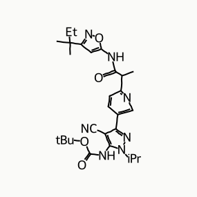 CCC(C)(C)c1cc(NC(=O)C(C)c2ccc(-c3nn(C(C)C)c(NC(=O)OC(C)(C)C)c3C#N)cn2)on1